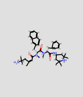 CC(=CC(=O)N(C)[C@H](Cc1ccc2ccccc2c1)C(=O)N(C)[C@H](Cc1ccccc1)C(=O)NC1CC(C)(C)NC(C)(C)C1)CC(C)(C)N